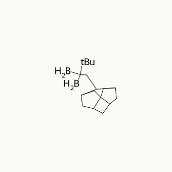 BC(B)(CC1C2CC3CC4CC1CC34C2)C(C)(C)C